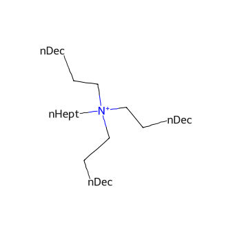 CCCCCCCCCCCC[N+](CCCCCCC)(CCCCCCCCCCCC)CCCCCCCCCCCC